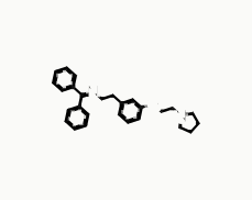 c1ccc(C(=NCCc2cccc(OCCN3CCCC3)c2)c2ccccc2)cc1